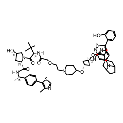 Cc1ncsc1-c1ccc([C@H](C)NC(=O)[C@@H]2C[C@@H](O)CN2C(=O)[C@@H](NC(=O)COCCN2CCC(O[C@H]3C[C@H](Oc4cc(N5C6CCC5CN(c5cc(-c7ccccc7O)nnc5N)C6)ccn4)C3)CC2)C(C)(C)C)cc1